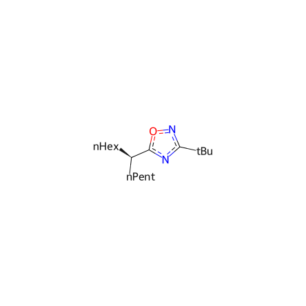 CCCCCC[C@H](CCCCC)c1nc(C(C)(C)C)no1